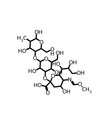 CO/C=N/C1C(O)CC(OC2C(O)C(CO)OC(OC3C(CO)OC(O)C(C)C3O)C2O)(C(=O)O)OC1C(O)C(O)CO